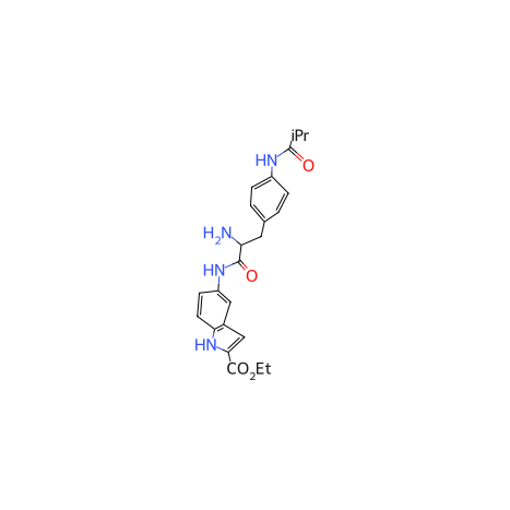 CCOC(=O)c1cc2cc(NC(=O)C(N)Cc3ccc(NC(=O)C(C)C)cc3)ccc2[nH]1